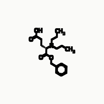 CCCN(CCC)[C@@H](CCC(=O)O)C(=O)OCc1ccccc1